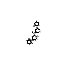 CC(c1cncc(-c2ccccc2)c1)C1CC(c2ccccc2)=CCN1